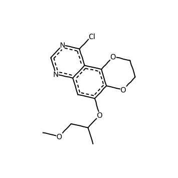 COCC(C)Oc1cc2ncnc(Cl)c2c2c1OCCO2